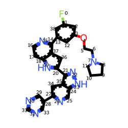 Fc1cc(OCCN2CCCC2)cc(-c2nccc3[nH]c(-c4n[nH]c5cnc(-c6cncnc6)cc45)cc23)c1